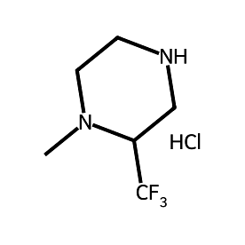 CN1CCNCC1C(F)(F)F.Cl